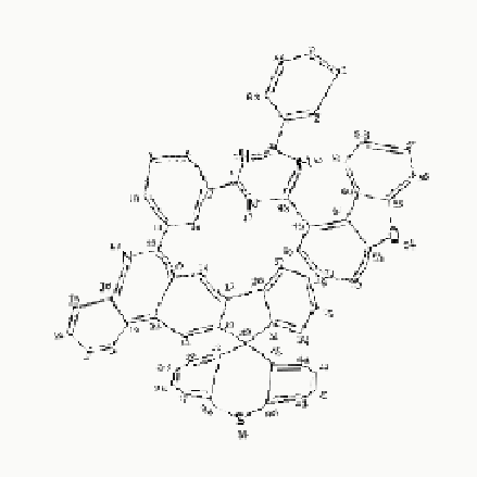 c1ccc(-c2nc(-c3cccc(-c4nc5ccccc5c5cc6c(cc45)-c4ccccc4C64c5ccccc5Sc5ccccc54)c3)nc(-c3cccc4oc5ccccc5c34)n2)cc1